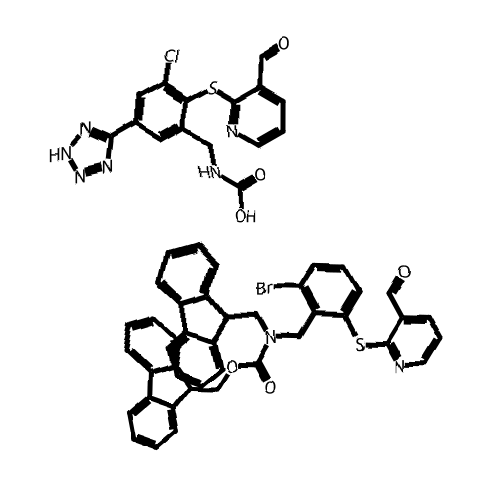 O=Cc1cccnc1Sc1c(Cl)cc(-c2nn[nH]n2)cc1CNC(=O)O.O=Cc1cccnc1Sc1cccc(Br)c1CN(CC1c2ccccc2-c2ccccc21)C(=O)OCC1c2ccccc2-c2ccccc21